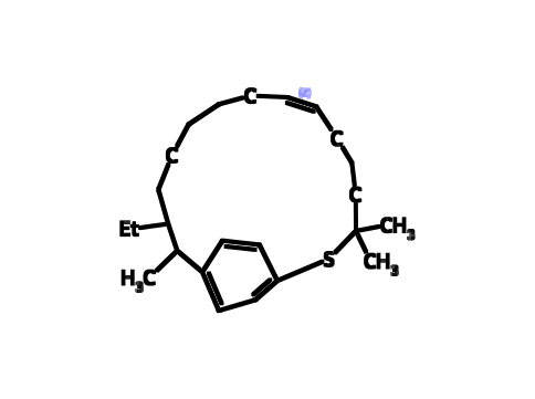 CCC1CCCCC/C=C\CCCC(C)(C)Sc2ccc(cc2)C1C